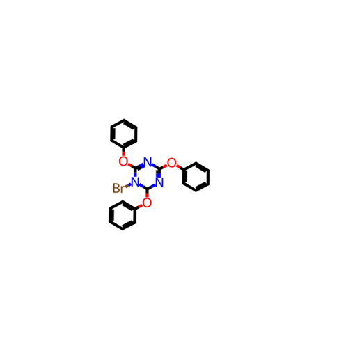 BrN1C(Oc2ccccc2)=NC(Oc2ccccc2)=NC1Oc1ccccc1